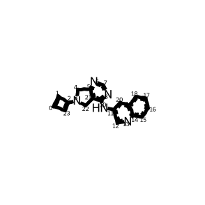 C1=CC(N2Cc3ncnc(Nc4cnc5ccccc5c4)c3C2)=C1